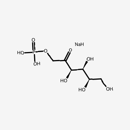 O=C(COP(=O)(O)O)[C@H](O)[C@@H](O)[C@H](O)CO.[NaH]